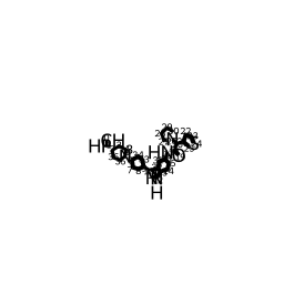 CPC1CCN(c2ccc(-c3n[nH]c4ccc(NC(=O)C(c5ccsc5)N5CCCC5)cc34)cc2)CC1